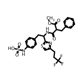 COC(=O)C(Cc1ccccc1)C(=O)NC(Cc1ccc(NS(=O)(=O)O)cc1)c1nc(CCC(F)(F)F)cs1